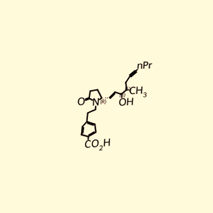 CCCC#CC[C@H](C)[C@@H](O)C=C[C@H]1CCC(=O)N1CCc1ccc(C(=O)O)cc1